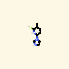 Cc1ccc(-n2ccnc2)nc1F